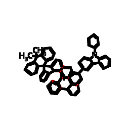 CC1(C)c2ccccc2C2(c3ccccc3-c3c(N(c4cccc(-c5ccc6c(c5)c5ccccc5n6-c5ccccc5)c4)c4ccccc4-c4ccccc4-c4ccccc4-c4ccccc4)cccc32)c2ccccc21